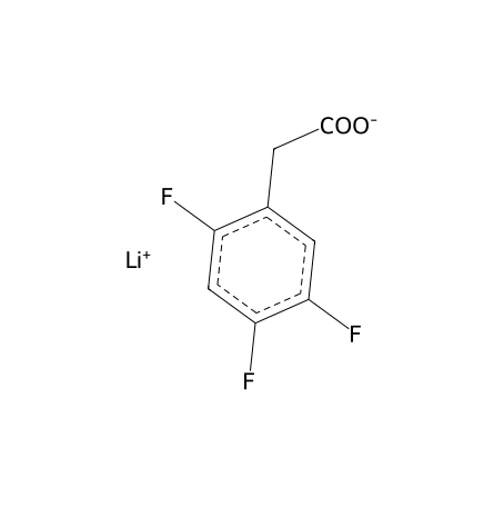 O=C([O-])Cc1cc(F)c(F)cc1F.[Li+]